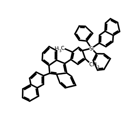 Cc1cc([Si](c2ccccc2)(c2ccccc2)c2ccc3ccccc3c2)c(C)cc1-c1c2ccccc2c(-c2ccc3ccccc3c2)c2ccccc12